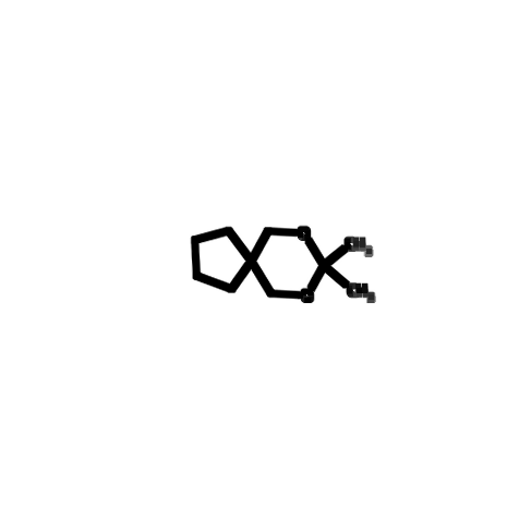 CC1(C)OCC2(CCCC2)CO1